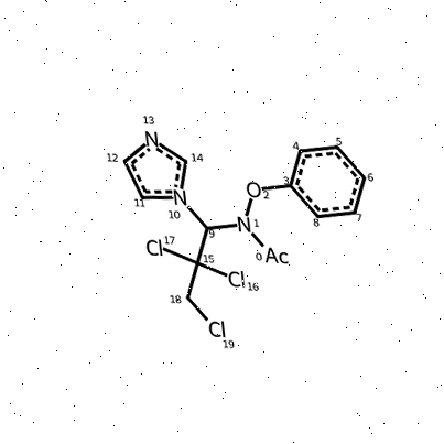 CC(=O)N(Oc1ccccc1)C(n1ccnc1)C(Cl)(Cl)CCl